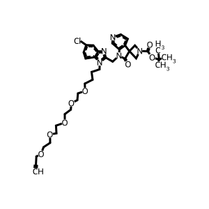 C#CCOCCOCCOCCOCCOCCCCn1c(CN2C(=O)C3(CN(C(=O)OC(C)(C)C)C3)c3ccncc32)nc2cc(Cl)ccc21